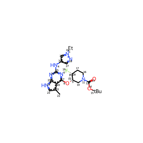 CCn1cc(Nc2nc(O[C@H]3CN(C(=O)OC(C)(C)C)CC[C@H]3F)c3c(C)c[nH]c3n2)cn1